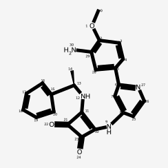 COc1ccc(-c2cc(Nc3c(N[C@H](C)c4ccccc4)c(=O)c3=O)ccn2)cc1N